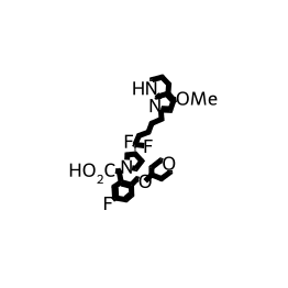 COc1cc(CCCCC(F)(F)[C@@H]2CCN(C(C(=O)O)c3cc(F)ccc3COC3CCOCC3)C2)nc2c1CCCN2